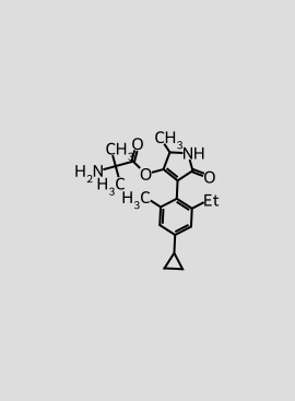 CCc1cc(C2CC2)cc(C)c1C1=C(OC(=O)C(C)(C)N)C(C)NC1=O